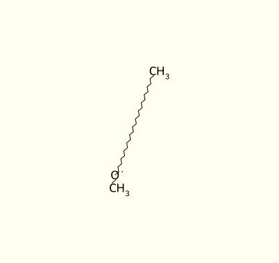 CCCCCCCCCCCCCCCCCCCCCCCCC[CH]OCCC